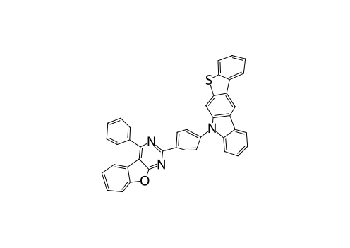 c1ccc(-c2nc(-c3ccc(-n4c5ccccc5c5cc6c(cc54)sc4ccccc46)cc3)nc3oc4ccccc4c23)cc1